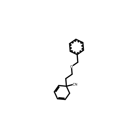 N#CC1(CCOCc2ccccc2)C=CC=CC1